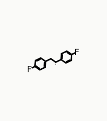 Fc1ccc([CH]Cc2ccc(F)cc2)cc1